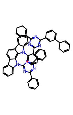 C1=CCC(c2cccc(-c3nc(C4=CCCC=C4)nc(-c4ccccc4-n4c5ccccc5c5ccc6c7ccccc7n(-c7nc(-c8ccccc8)nc(-c8ccccc8)n7)c6c54)n3)c2)C=C1